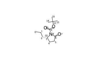 CCC[C@H]1CCC(=O)N1C(=O)OC(C)(C)C